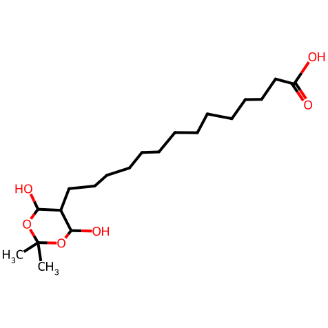 CC1(C)OC(O)C(CCCCCCCCCCCCCC(=O)O)C(O)O1